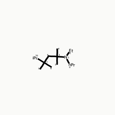 CCCN(CC)C(C)(C)CC(C)(C)C(C)C